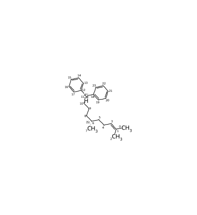 CC(C)=CCC[C@H](C)CCC[SiH](c1ccccc1)c1ccccc1